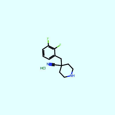 Cl.N#CC1(Cc2cccc(F)c2F)CCNCC1